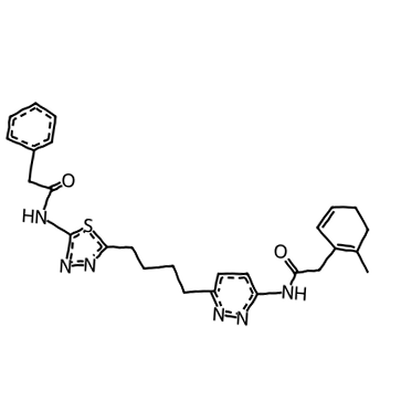 CC1=C(CC(=O)Nc2ccc(CCCCc3nnc(NC(=O)Cc4ccccc4)s3)nn2)C=CCC1